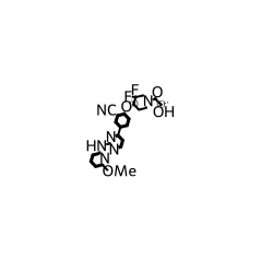 COc1cccc(Nc2nccc(-c3ccc(O[C@H]4CCN(C(=O)[C@H](C)O)CC4(F)F)c(C#N)c3)n2)n1